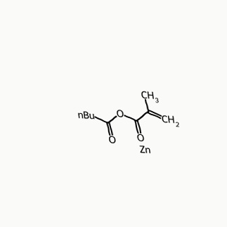 C=C(C)C(=O)OC(=O)CCCC.[Zn]